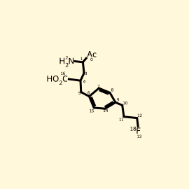 CC(=O)C(N)CC(Cc1ccc(CCC[18F])cc1)C(=O)O